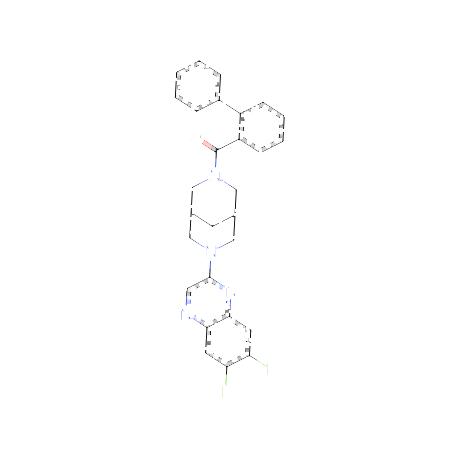 O=C(c1ccccc1-c1ccccc1)N1CC2CC(C1)CN(c1cnc3cc(F)c(F)cc3n1)C2